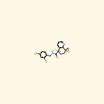 O=C(NCc1ccc(Cl)cc1Cl)[C@@]1(F)CC[C@]2(CO2)c2ncccc21